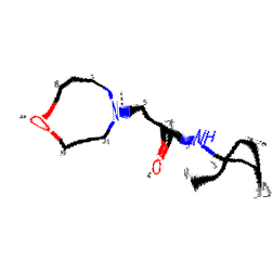 CC1(NC(=O)CN2CCOCC2)CC1